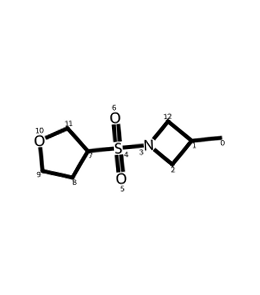 CC1CN(S(=O)(=O)C2CCOC2)C1